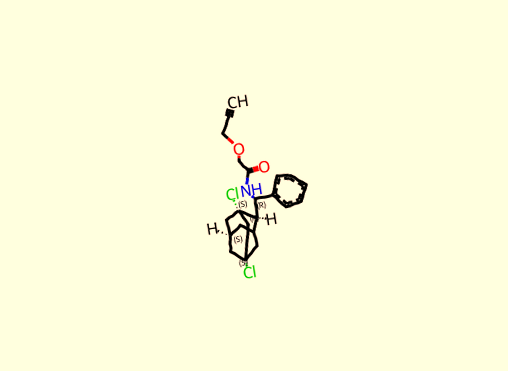 C#CCOCC(=O)N[C@@H](c1ccccc1)[C@H]1C2C[C@H]3C[C@](Cl)(C2)C[C@@]1(Cl)C3